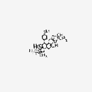 CCSc1ccc(C2C[C@@]3(C)C(CC[C@@]3(O)C(C)(F)C(C)(F)F)C3CC[C@@]4(O)CC5(CCC4=C23)OCC(C)(C)CO5)cc1